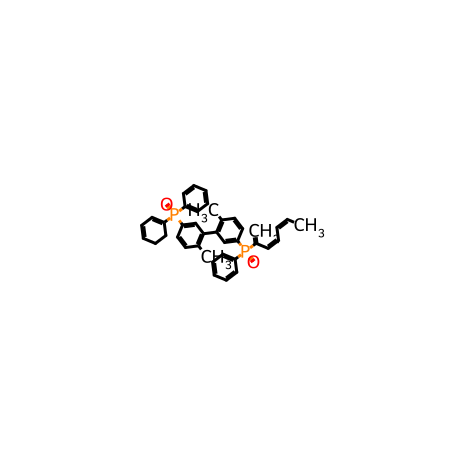 C=C(/C=C\C=C/C)P(=O)(c1ccccc1)c1ccc(C)c(-c2cc(P(=O)(C3=CC=CCC3)c3ccccc3)ccc2C)c1